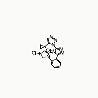 OC1(c2cnnn2-c2nnc3n2C2=CN(Cl)CN2c2ccccc2-3)CC1